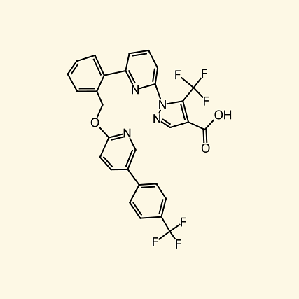 O=C(O)c1cnn(-c2cccc(-c3ccccc3COc3ccc(-c4ccc(C(F)(F)F)cc4)cn3)n2)c1C(F)(F)F